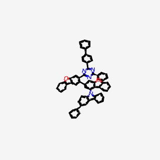 c1ccc(-c2ccc(-c3nc(-c4ccccc4)nc(-c4cc5oc6ccccc6c5cc4-c4cc(-n5c6ccccc6c6cc(-c7ccccc7)ccc65)c5c(c4)oc4ccccc45)n3)cc2)cc1